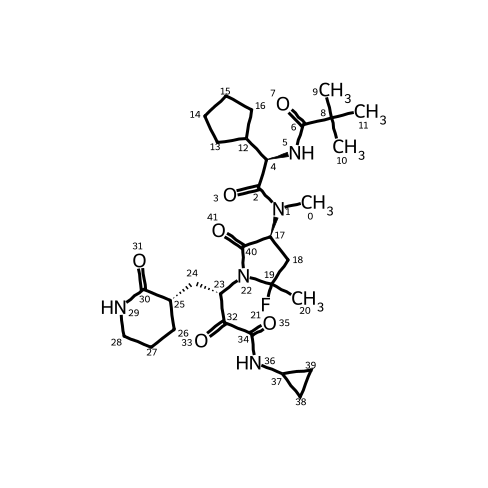 CN(C(=O)[C@H](NC(=O)C(C)(C)C)C1CCCC1)[C@H]1CC(C)(F)N([C@@H](C[C@@H]2CCCNC2=O)C(=O)C(=O)NC2CC2)C1=O